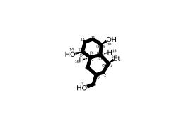 CC[C@H]1CC(CO)C[C@@H]2[C@H]1[C@H](O)CC[C@@H]2O